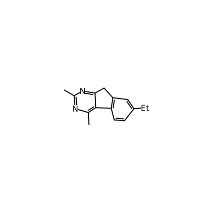 CCc1ccc2c(c1)Cc1nc(C)nc(C)c1-2